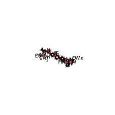 C=C(CC)NC(CN1CC2(CC2)C[C@H]1c1ncc(-c2ccc3c(c2)C(F)(F)c2cc(-c4ccc5nc([C@@H]6C7CC[C@H](C7)N6/C(=C\C)[C@@H](NC(=O)OC)C(C)C)[nH]c5c4)ccc2-3)[nH]1)C(C)C